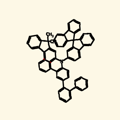 CC1(C)c2ccccc2-c2ccc(N(c3ccc4c(c3)C3(c5ccccc5-c5ccccc53)c3ccccc3-4)c3ccc(-c4ccccc4-c4ccccc4)cc3-c3ccccc3)cc21